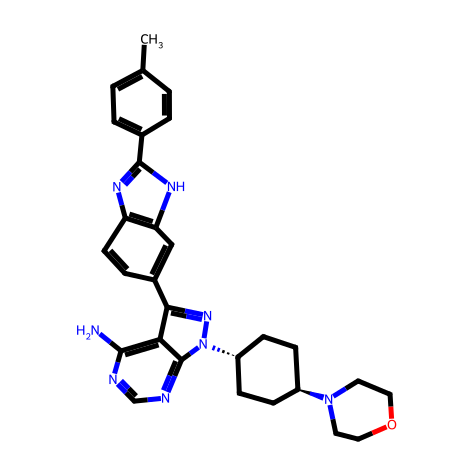 Cc1ccc(-c2nc3ccc(-c4nn([C@H]5CC[C@H](N6CCOCC6)CC5)c5ncnc(N)c45)cc3[nH]2)cc1